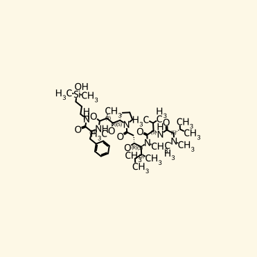 CC[C@H](C)[C@@H]([C@@H](CC(=O)N1CCC[C@H]1[C@H](OC)[C@@H](C)C(O)N[C@@H](Cc1ccccc1)C(=O)NCCC[Si](C)(C)O)OC)N(C)C(=O)[C@@H](NC(=O)[C@H](C(C)C)N(C)C)C(C)C